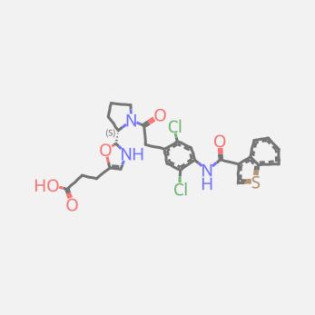 O=C(O)CCC1=CNC([C@@H]2CCCN2C(=O)Cc2cc(Cl)c(NC(=O)c3csc4ccccc34)cc2Cl)O1